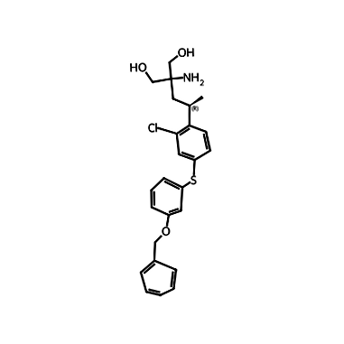 C[C@H](CC(N)(CO)CO)c1ccc(Sc2cccc(OCc3ccccc3)c2)cc1Cl